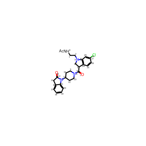 CC(=O)NCCN1CC(C(=O)N2CCC(N3C(=O)Cc4ccccc43)CC2)c2ccc(Cl)cc21